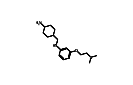 CN(C)CCOc1cccc(NCC2CCC(N)CC2)c1